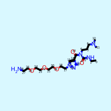 CCNC(=O)N(CCCN(C)C)C(=O)c1cn(CCOCCOCCOCCN)nn1